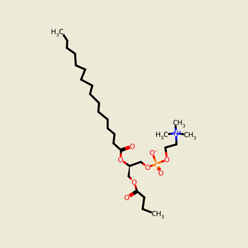 CCCCCCCCCCCCCCCC(=O)O[C@H](COC(=O)CCC)COP(=O)([O-])OCC[N+](C)(C)C